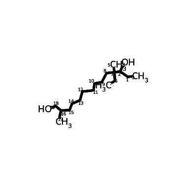 CCC(O)C(C)(CC)CCCCCCCCC(C)CO